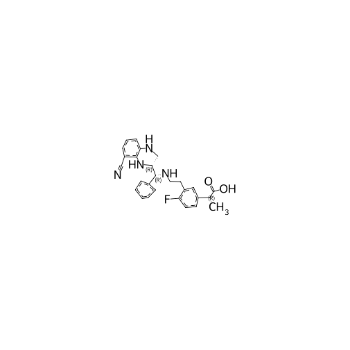 C[C@@H](C(=O)O)c1ccc(F)c(CCN[C@H](c2ccccc2)[C@H]2CNc3cccc(C#N)c3N2)c1